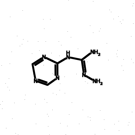 NN=C(N)Nc1ncncn1